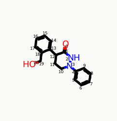 O=C1NN(c2ccccc2)CCC1c1ccccc1CO